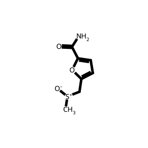 C[S+]([O-])Cc1ccc(C(N)=O)o1